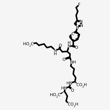 O=C(O)CCCCCNC(=O)CC(CC(=O)NCCCC[C@H](NC(=O)N[C@@H](CCC(=O)O)C(=O)O)C(=O)O)NC(=O)c1ccc(-n2cc(CCCF)nn2)cc1